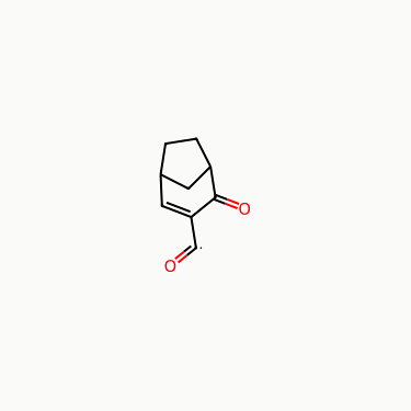 O=[C]C1=CC2CCC(C2)C1=O